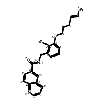 CCC/C=C/CCCOc1cccc(CNC(=O)c2ccc3ncccc3c2)c1F